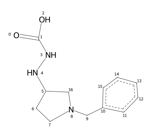 O=C(O)NNC1CCN(Cc2ccccc2)C1